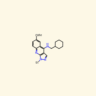 CCn1ncc2c(NCC3CCCCC3)c3cc(OC)ccc3nc21